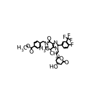 COC(=O)c1ccc(CNC(=O)c2nc(-c3ccc(F)c(C(F)(F)F)c3)n(CC[C@@H]3C[C@@H](O)CC(=O)O3)c2C(C)C)cc1